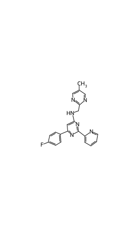 Cc1cnc(CNc2cc(-c3ccc(F)cc3)nc(-c3ccccn3)n2)nc1